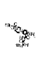 CC(C)(C)NC(=O)CNC(=O)c1cc(N2CCCN(C(=O)OC(C)(C)C)CC2)ccc1N